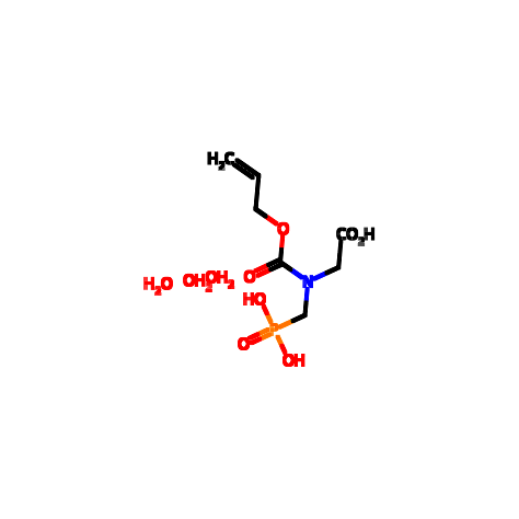 C=CCOC(=O)N(CC(=O)O)CP(=O)(O)O.O.O.O